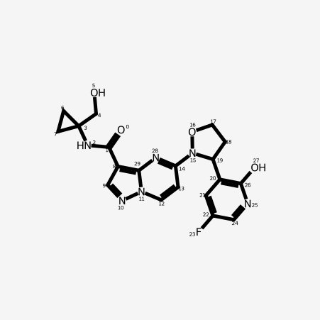 O=C(NC1(CO)CC1)c1cnn2ccc(N3OCCC3c3cc(F)cnc3O)nc12